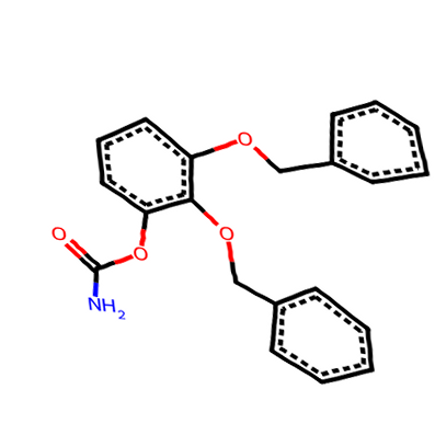 NC(=O)Oc1cccc(OCc2ccccc2)c1OCc1ccccc1